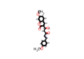 COc1ccc(/C=C/C(=O)CC(=O)c2cc3ccc(OC)cc3oc2=O)cc1